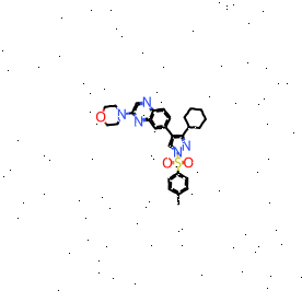 Cc1ccc(S(=O)(=O)n2cc(-c3ccc4ncc(N5CCOCC5)nc4c3)c(C3CCCCC3)n2)cc1